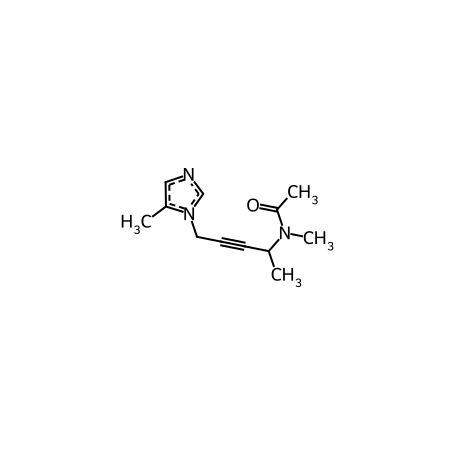 CC(=O)N(C)C(C)C#CCn1cncc1C